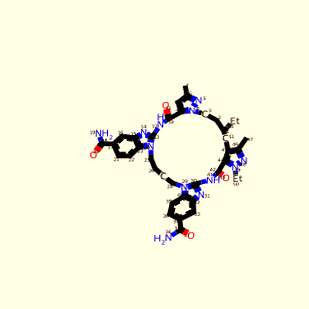 CCC1CCn2nc(C)cc2C(=O)Nc2nc3cc(C(N)=O)ccc3n2CCCCn2c(nc3cc(C(N)=O)ccc32)NC(=O)c2c(c(C)nn2CC)C1